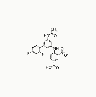 CC(=O)Nc1cc(Nc2ccc(C(=O)O)cc2[N+](=O)[O-])cc(-c2ccc(F)cc2F)c1